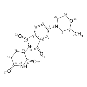 CC1CN(c2ccc3c(c2)C(=O)N(C2CCC(=O)NC2=O)C3=O)CCO1